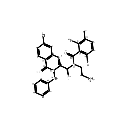 CCC(c1nc2cc(Cl)ccc2c(=O)n1Nc1ccccc1)N(CCN)C(=O)c1c(F)ccc(C)c1F